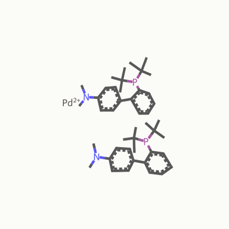 CN(C)c1ccc(-c2ccccc2P(C(C)(C)C)C(C)(C)C)cc1.CN(C)c1ccc(-c2ccccc2P(C(C)(C)C)C(C)(C)C)cc1.[Pd+2]